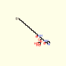 CCC=CCC=CCC=CCC=CCC=CCC=CCCC(=O)NCCC(CCNC(=O)c1cccnc1)C(=O)OC(CO)CO